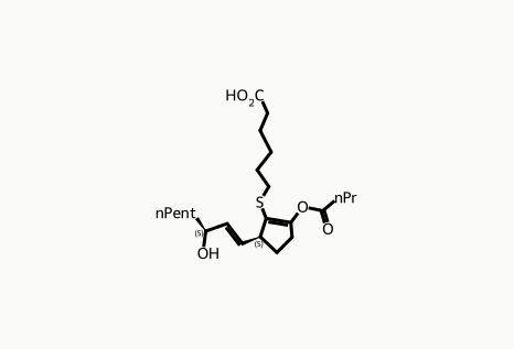 CCCCC[C@H](O)C=C[C@@H]1CCC(OC(=O)CCC)=C1SCCCCCC(=O)O